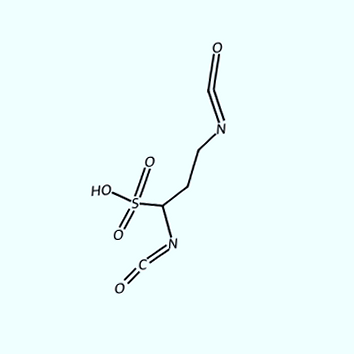 O=C=NCCC(N=C=O)S(=O)(=O)O